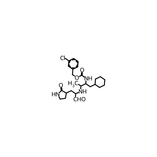 CC(NC(C=O)CC1CCNC1=O)C(CC1CCCCC1)NC(=O)OCc1cccc(Cl)c1